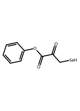 O=C(C[SeH])C(=O)Oc1ccccc1